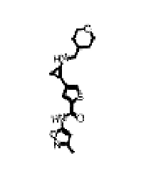 Cc1cc(NC(=O)c2cc(C3CC3NCC3CCOCC3)cs2)on1